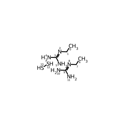 CCN=C(N)N.CCN=C(N)N.SS